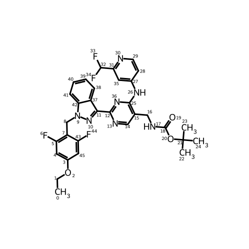 CCOc1cc(F)c(Cn2nc(-c3ncc(CNC(=O)OC(C)(C)C)c(Nc4ccnc(C(F)F)c4)n3)c3ccccc32)c(F)c1